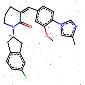 COc1cc(C=C2CCCN([C@@H]3Cc4ccc(F)cc4C3)C2=O)ccc1-n1cnc(C)c1